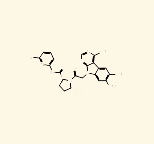 COc1cc2c(cc1C)c1c(N)ncnc1n2CC(=O)N1[C@H](C)CC[C@H]1C(=O)Nc1cccc(Br)n1